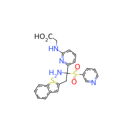 NC(Cc1cc2ccccc2s1)(c1cccc(NCC(=O)O)n1)S(=O)(=O)c1cccnc1